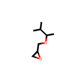 CC(C)C(C)OCC1CO1